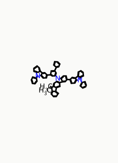 CC1(C)c2ccccc2-c2cc3c4cc(-c5ccc6c(c5)c5ccccc5n6-c5ccccc5)ccc4n(-c4cc(-c5ccccc5)cc(-c5ccc6c(c5)c5ccccc5n6-c5ccccc5)c4)c3cc21